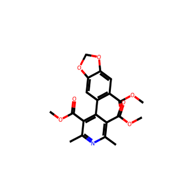 COC(=O)c1cc2c(cc1-c1c(C(=O)OC)c(C)nc(C)c1C(=O)OC)OCO2